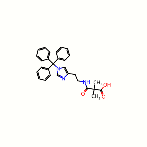 CC(C)(C(=O)O)C(=O)NCCc1cn(C(c2ccccc2)(c2ccccc2)c2ccccc2)cn1